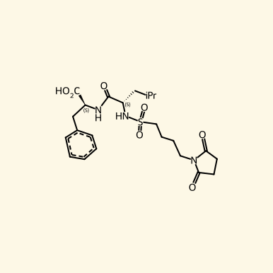 CC(C)C[C@H](NS(=O)(=O)CCCCN1C(=O)CCC1=O)C(=O)N[C@@H](Cc1ccccc1)C(=O)O